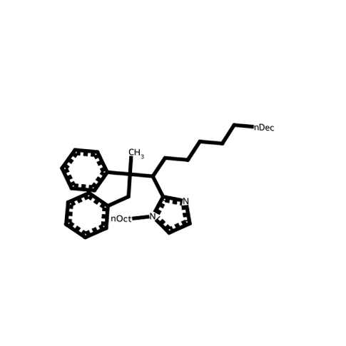 CCCCCCCCCCCCCCCC(c1nccn1CCCCCCCC)C(C)(Cc1ccccc1)c1ccccc1